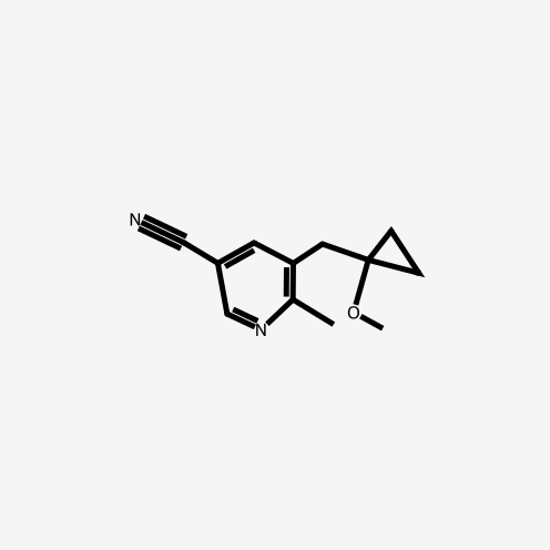 COC1(Cc2cc(C#N)cnc2C)CC1